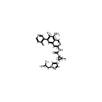 Cc1ccncc1-c1cc2cc(NC(=O)[C@H]3[C@@H](C)[C@@H]3c3cnn(CC(F)F)c3)ncc2c(N)c1F